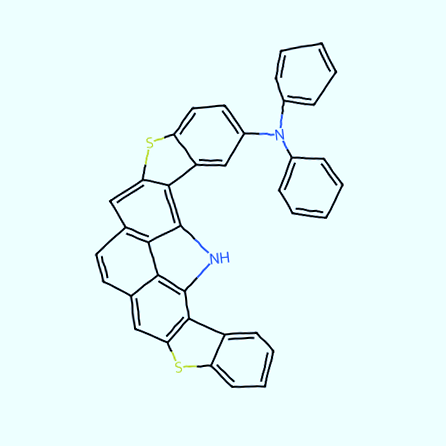 c1ccc(N(c2ccccc2)c2ccc3sc4cc5ccc6cc7sc8ccccc8c7c7[nH]c(c4c3c2)c5c67)cc1